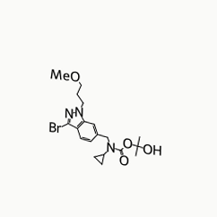 COCCCn1nc(Br)c2ccc(CN(C(=O)OC(C)(C)O)C3CC3)cc21